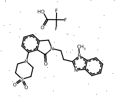 Cn1c(CCN2Cc3cccc(N4CCS(=O)(=O)CC4)c3C2=O)nc2ccccc21.O=C(O)C(F)(F)F